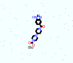 CC(C)(C)OC(=O)N1CCN(C2CCN(C(=O)c3ccc4[nH]nnc4c3)CC2)CC1